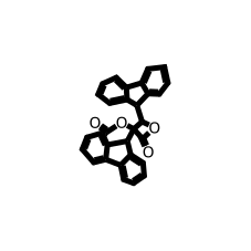 O=[C]OC1(C2c3ccccc3-c3ccccc32)C(=O)OC1C1c2ccccc2-c2ccccc21